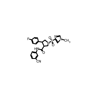 Cn1cnc(S(=O)(=O)N2CC(C(=O)Nc3cccc(C#N)c3)C(c3ccc(F)cc3)C2)c1